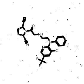 C#CC1CCC(C#N)N1C(=O)CNCCN(c1ccccc1)c1ncc(C(F)(F)F)cc1Cl